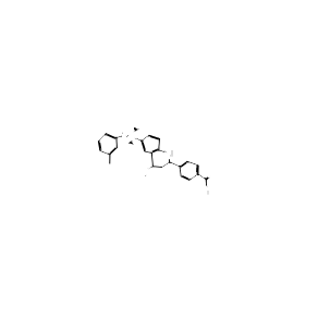 CCOC1CC(c2ccc(C(=O)C(C)C)cc2)Nc2ccc(S(=O)(=O)Nc3cccc(C)c3)cc21